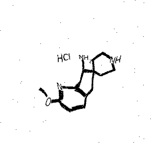 COc1ccc2c(n1)C(N)C1(CCNCC1)C2.Cl